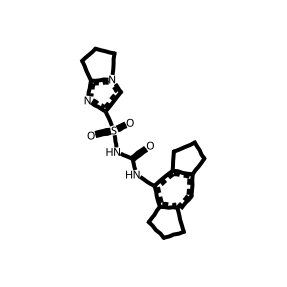 O=C(Nc1c2c(cc3c1CCC3)CCC2)NS(=O)(=O)c1cn2c(n1)CCC2